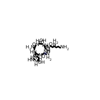 N=C1NC([C@@H]2NC(=O)/C(=C/N)NC(=O)[C@H](CNC(=O)C[C@@H](N)CCCN)NC(=O)[C@H](CO)NC(=O)[C@@H](N)CNC2=O)C[C@@H](O)N1